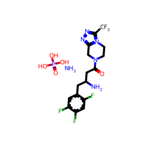 N.NC(CC(=O)N1CCn2c(nnc2C(F)(F)F)C1)Cc1cc(F)c(F)cc1F.O=P(O)(O)O